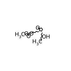 CCCC(O)CC[C@H]1CCC(=O)[C@@H]1CCCCOCC(=O)OCC